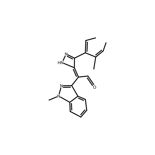 C/C=C(C)\C(=C/C)C1=NN/C1=C(/C=O)c1nn(C)c2ccccc12